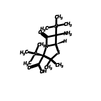 CC1(C)S[C@H]2N(C(=O)C2(N)[Si](C)(C)C)[C@]1(C(=O)O)[Si](C)(C)C